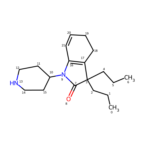 CCCC1(CCC)C(=O)N(C2CCNCC2)C2=C1CCC=C2